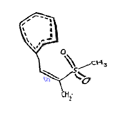 [CH2]/C(=C/c1ccccc1)S(C)(=O)=O